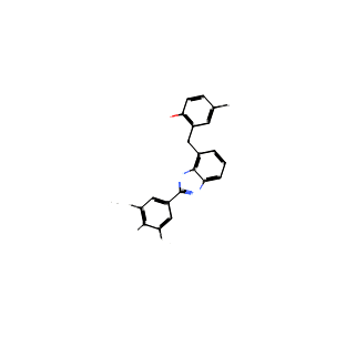 COc1cc(-c2nc3cccc(Cc4cc(C(C)C)ccc4O)c3[nH]2)cc(OC)c1OC